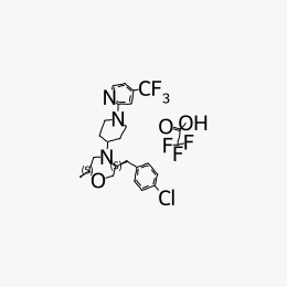 C[C@H]1CN(C2CCN(c3cc(C(F)(F)F)ccn3)CC2)[C@@H](Cc2ccc(Cl)cc2)CO1.O=C(O)C(F)(F)F